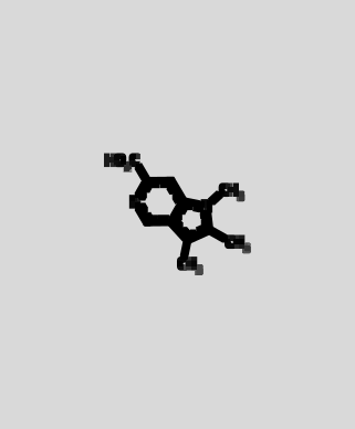 Cc1c(C)n(C)c2cc(C(=O)O)ncc12